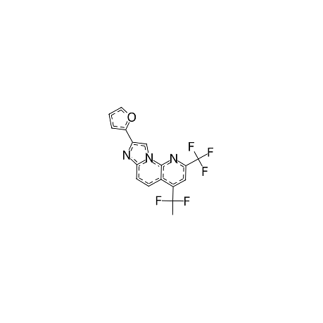 CC(F)(F)c1cc(C(F)(F)F)nc2c1ccc1nc(-c3ccco3)cn12